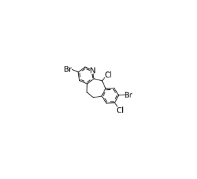 Clc1cc2c(cc1Br)C(Cl)c1ncc(Br)cc1CC2